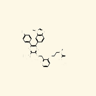 CN(CCOc1cccnc1CN(C=O)c1nc(-c2ccc3ncn(C)c3c2)c(-c2ccc(F)cc2)nc1N)C(=O)OC(C)(C)C